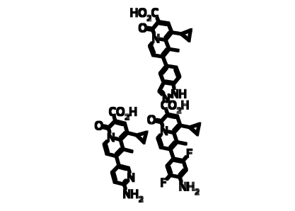 Cc1c(-c2cc(F)c(N)cc2F)ccn2c(=O)c(C(=O)O)cc(C3CC3)c12.Cc1c(-c2ccc(N)nc2)ccn2c(=O)c(C(=O)O)cc(C3CC3)c12.Cc1c(-c2ccc3[nH]ncc3c2)ccn2c(=O)c(C(=O)O)cc(C3CC3)c12